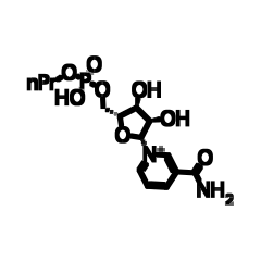 CCCOP(=O)(O)OC[C@H]1O[C@@H]([n+]2cccc(C(N)=O)c2)[C@H](O)[C@@H]1O